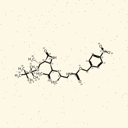 CC(=O)C(S[C@H](C)CNC(=O)OCc1ccc([N+](=O)[O-])cc1)[C@@H]1NC(=O)[C@@H]1[C@@H](C)O[Si](C)(C)C(C)(C)C